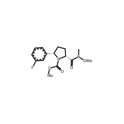 CON(C)C(=O)[C@H]1CC[C@@H](c2cccc(F)c2)N1C(=O)OC(C)(C)C